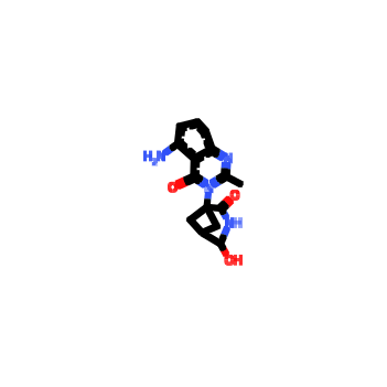 Cc1nc2cccc(N)c2c(=O)n1C12CC(C1)C(O)NC2=O